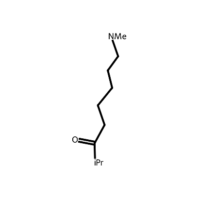 CNCCCCCC(=O)C(C)C